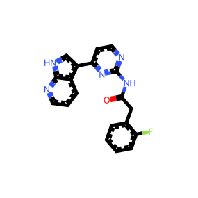 O=C(Cc1ccccc1F)Nc1nccc(-c2c[nH]c3ncccc23)n1